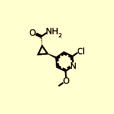 COc1cc([C@H]2C[C@@H]2C(N)=O)cc(Cl)n1